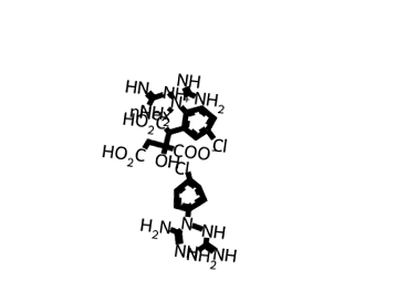 CCCCCC[N+](NC(=N)N)(C(=N)N)c1ccc(Cl)cc1C(C(=O)O)C(O)(CC(=O)O)C(=O)[O-].N=C(N)NN(C(=N)N)c1ccc(Cl)cc1